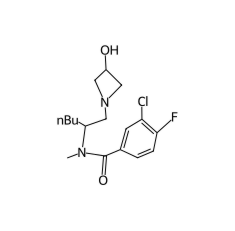 CCCCC(CN1CC(O)C1)N(C)C(=O)c1ccc(F)c(Cl)c1